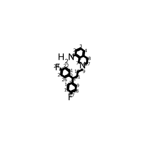 Nc1cccc2c1CN(CCCC(c1ccc(F)cc1)c1ccc(F)cc1)CC2